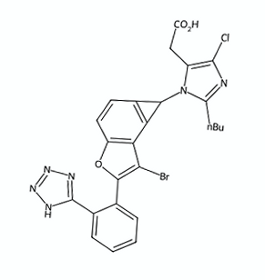 CCCCc1nc(Cl)c(CC(=O)O)n1C1c2ccc3oc(-c4ccccc4-c4nnn[nH]4)c(Br)c3c21